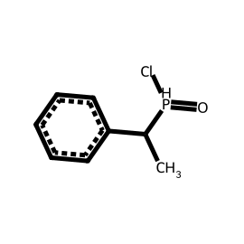 CC(c1ccccc1)[PH](=O)Cl